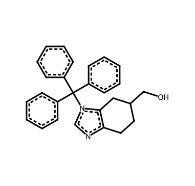 OCC1CCc2ncn(C(c3ccccc3)(c3ccccc3)c3ccccc3)c2C1